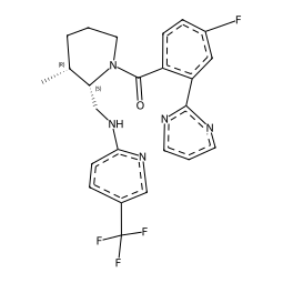 C[C@@H]1CCCN(C(=O)c2ccc(F)cc2-c2ncccn2)[C@@H]1CNc1ccc(C(F)(F)F)cn1